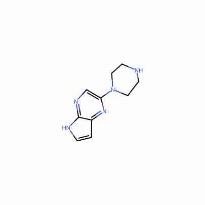 c1cc2nc(N3CCNCC3)cnc2[nH]1